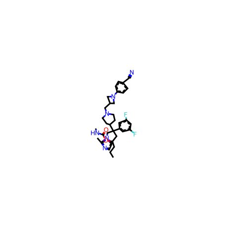 CCCC(CC(Cn1ccnc1C)(c1cc(F)cc(F)c1)C1CCN(CC2CN(c3ccc(C#N)cc3)C2)CC1)OC(=O)NC